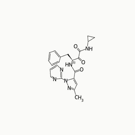 Cc1cc(C(=O)N[C@@H](Cc2ccccc2)C(=O)C(=O)NC2CC2)n(-c2ncccn2)n1